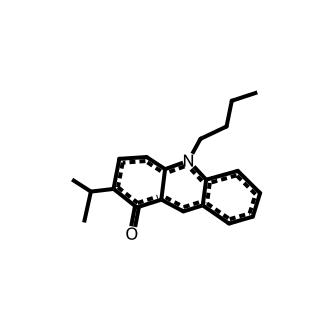 CCCCn1c2ccc(C(C)C)c(=O)c-2cc2ccccc21